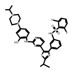 CC(C)c1nc(-c2cccc(NS(=O)(=O)c3c(F)cccc3F)c2)c(-c2ccnc(Nc3ccc(N4CCN(C(C)C)CC4)cc3O)n2)s1